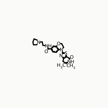 CC1(C)Cc2nc(N3CCOc4cc(C(=O)NCCN5CCCCC5)ccc43)sc2C(=O)N1